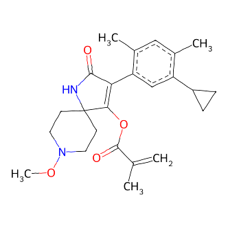 C=C(C)C(=O)OC1=C(c2cc(C3CC3)c(C)cc2C)C(=O)NC12CCN(OC)CC2